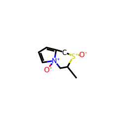 CC1C[N+]2([O-])C=CC=C2C[S+]1[O-]